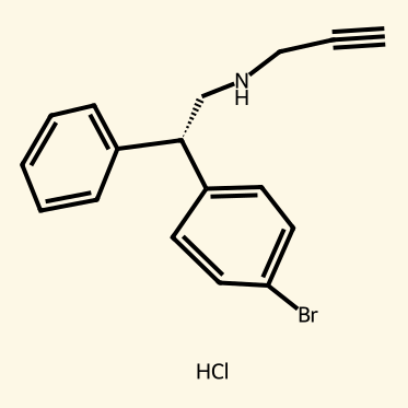 C#CCNC[C@@H](c1ccccc1)c1ccc(Br)cc1.Cl